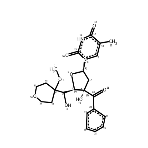 COC1(C(O)[C@H]2O[C@@H](n3cc(C)c(=O)[nH]c3=O)C[C@@]2(O)C(=O)c2ccccc2)CCOCC1